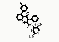 Cc1cccc(-c2cccc3nc([C@H](C)Nc4nc(N)ncc4C#N)n(-c4ccccc4)c(=O)c23)c1